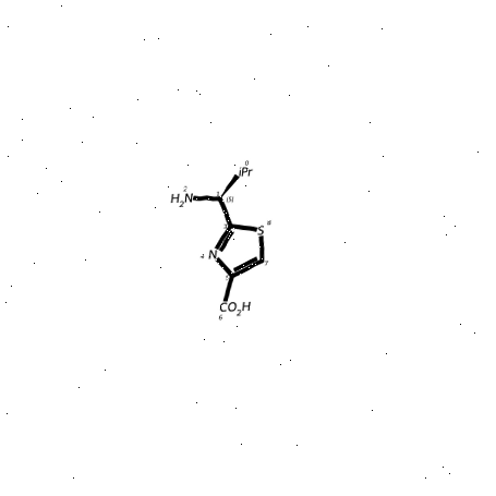 CC(C)[C@H](N)c1nc(C(=O)O)cs1